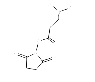 CC(=O)N(Br)CCC(=O)ON1C(=O)CCC1=O